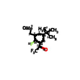 COCc1cc([Si](C)(C)C)cc(C(=O)C(F)(F)F)c1F